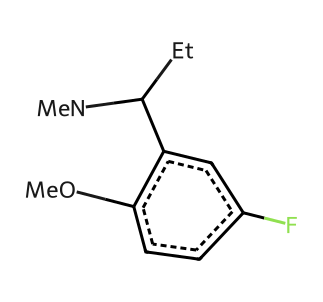 CCC(NC)c1cc(F)ccc1OC